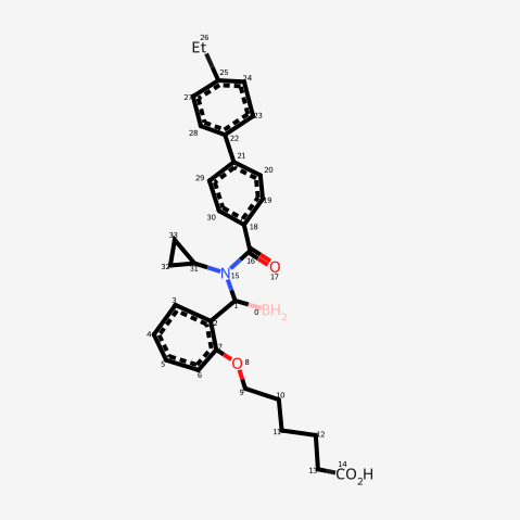 BC(c1ccccc1OCCCCCC(=O)O)N(C(=O)c1ccc(-c2ccc(CC)cc2)cc1)C1CC1